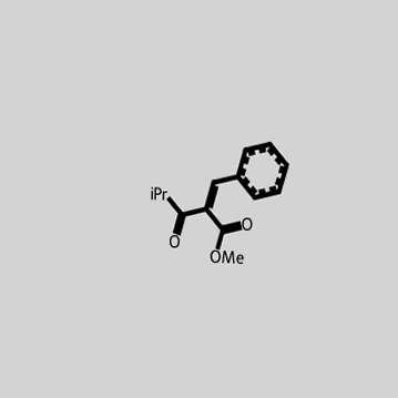 COC(=O)/C(=C\c1ccccc1)C(=O)C(C)C